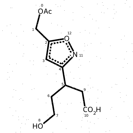 CC(=O)OCc1cc(C(CCO)CC(=O)O)no1